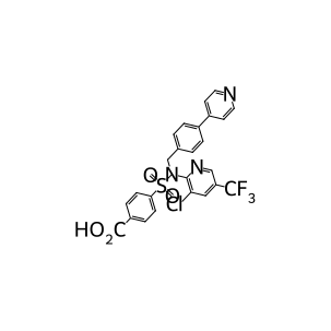 O=C(O)c1ccc(S(=O)(=O)N(Cc2ccc(-c3ccncc3)cc2)c2ncc(C(F)(F)F)cc2Cl)cc1